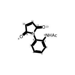 CC(=O)Nc1ccccc1N1C(=O)C=CC1=O